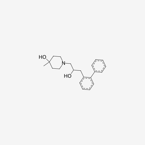 CC1(O)CCN(CC(O)Cc2ccccc2-c2ccccc2)CC1